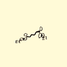 CCOOC(=O)CCCCC(=O)OOCC